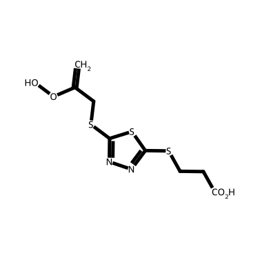 C=C(CSc1nnc(SCCC(=O)O)s1)OO